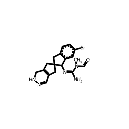 CN(C=O)/C(N)=N\C1c2cc(Br)ccc2CC12CC1=C(CNN=C1)C2